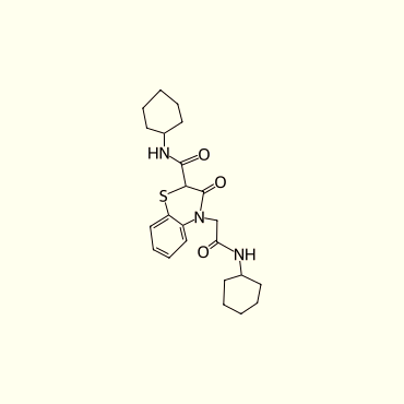 O=C(CN1C(=O)C(C(=O)NC2CCCCC2)Sc2ccccc21)NC1CCCCC1